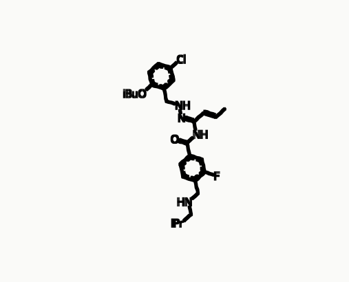 C/C=C/C(=N\NCc1cc(Cl)ccc1OCC(C)C)NC(=O)c1ccc(CNCC(C)C)c(F)c1